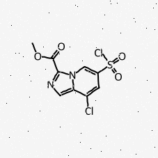 COC(=O)c1ncc2c(Cl)cc(S(=O)(=O)Cl)cn12